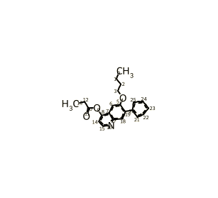 CCCCOc1cc2c(OC(=O)CC)ccnc2cc1-c1ccccc1